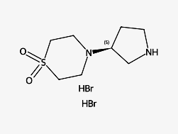 Br.Br.O=S1(=O)CCN([C@H]2CCNC2)CC1